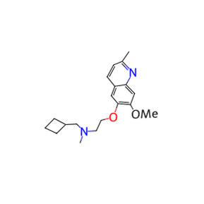 COc1cc2nc(C)ccc2cc1OCCN(C)CC1CCC1